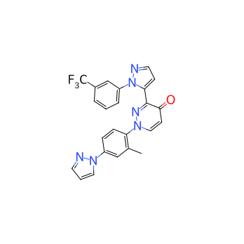 Cc1cc(-n2cccn2)ccc1-n1ccc(=O)c(-c2ccnn2-c2cccc(C(F)(F)F)c2)n1